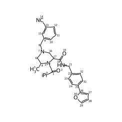 CC(C)C(=O)N1C(C)CN(Cc2cccc(C#N)c2)CC1C(=O)NCc1ccc(-c2ccco2)cc1